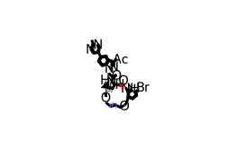 CC(=O)c1nn(CC(=O)N2[C@H]3C[C@@]4(COC/C=C/COCc5ccc(Br)nc5NC3=O)C[C@@H]24)c2ccc(-c3cnc(C)nc3)cc12